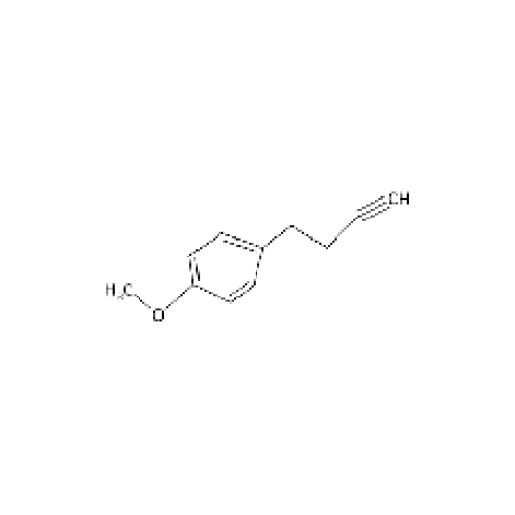 C#CCCc1ccc(OC)cc1